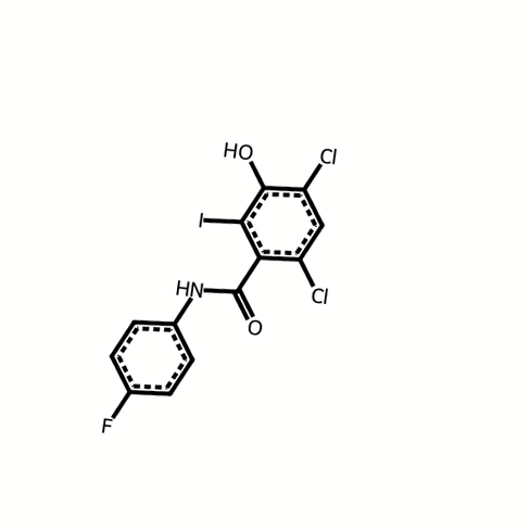 O=C(Nc1ccc(F)cc1)c1c(Cl)cc(Cl)c(O)c1I